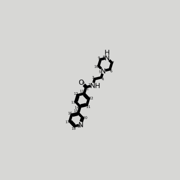 O=C(NCCN1CCNCC1)c1ccc(-c2cccnc2)cc1